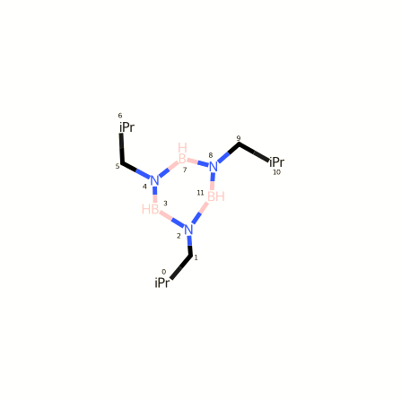 CC(C)CN1BN(CC(C)C)BN(CC(C)C)B1